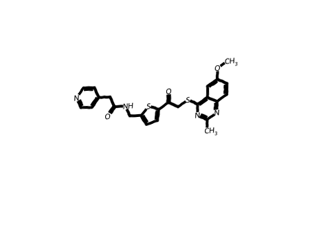 COc1ccc2nc(C)nc(SCC(=O)c3ccc(CNC(=O)Cc4ccncc4)s3)c2c1